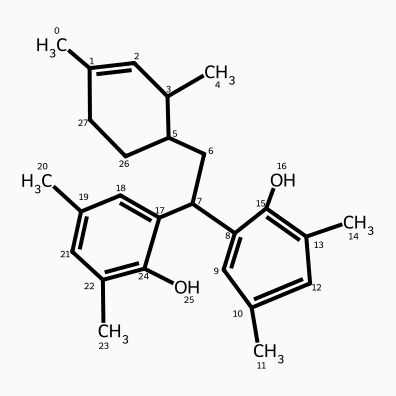 CC1=CC(C)C(CC(c2cc(C)cc(C)c2O)c2cc(C)cc(C)c2O)CC1